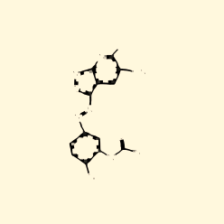 N#Cc1cc2c(/N=N/c3ccc(O)c(NC(N)=O)c3)snc2nc1Cl